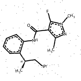 Cc1nn(C)c(F)c1C(=O)Nc1ccccc1[C@H](C)CC(C)C